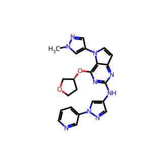 Cn1cc(-n2ccc3nc(Nc4cnn(-c5cccnc5)c4)nc(O[C@H]4CCOC4)c32)cn1